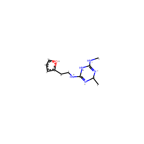 CNC1=NC(C)N=C(NCCc2ccco2)N1